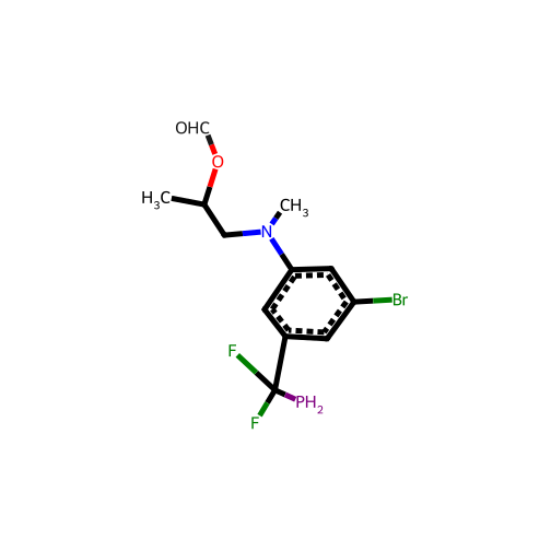 CC(CN(C)c1cc(Br)cc(C(F)(F)P)c1)OC=O